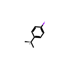 [CH2][C@H](C)c1ccc(I)cc1